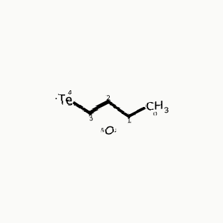 CCCC[Te].[O]